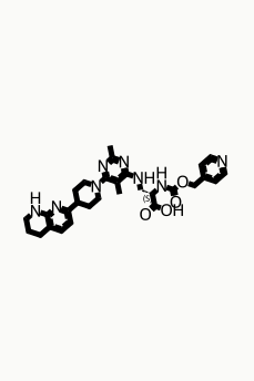 Cc1nc(NC[C@H](NC(=O)OCc2ccncc2)C(=O)O)c(C)c(N2CCC(c3ccc4c(n3)NCCC4)CC2)n1